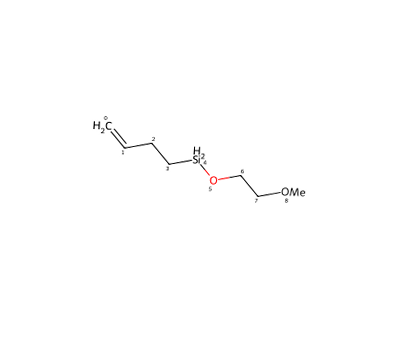 C=CCC[SiH2]OCCOC